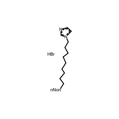 Br.CCCCCCCCCCCCCCCCCCn1ccnc1